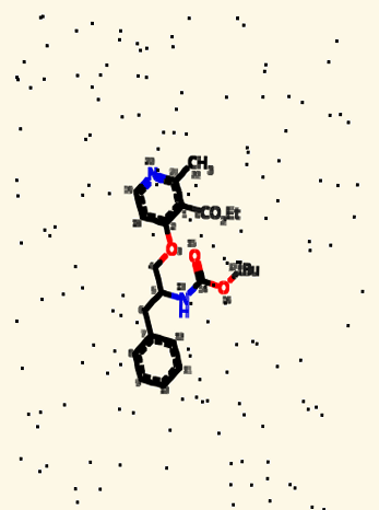 CCOC(=O)c1c(OCC(Cc2ccccc2)NC(=O)OC(C)(C)C)ccnc1C